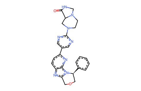 O=C1NCN2CCN(c3ncc(-c4ccc5nc6n(c5n4)[C@@H](c4ccccc4)COC6)cn3)CC12